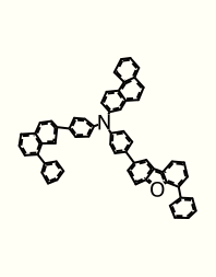 c1ccc(-c2cccc3ccc(-c4ccc(N(c5ccc(-c6ccc7oc8c(-c9ccccc9)cccc8c7c6)cc5)c5ccc6c(ccc7ccccc76)c5)cc4)cc23)cc1